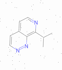 CC(C)c1nccc2ccnnc12